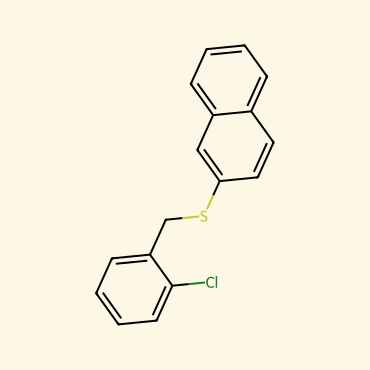 Clc1ccccc1CSc1ccc2ccccc2c1